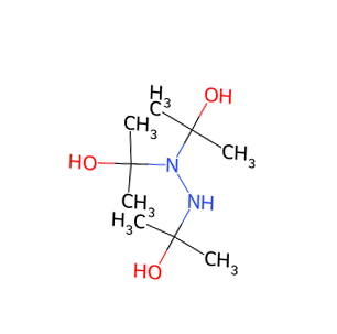 CC(C)(O)NN(C(C)(C)O)C(C)(C)O